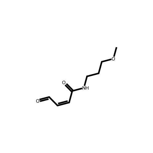 COCCCNC(=O)/C=C\C=O